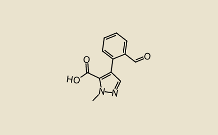 Cn1ncc(-c2ccccc2C=O)c1C(=O)O